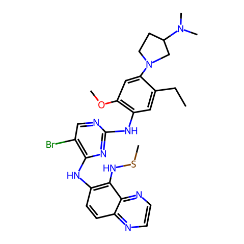 CCc1cc(Nc2ncc(Br)c(Nc3ccc4nccnc4c3NSC)n2)c(OC)cc1N1CCC(N(C)C)C1